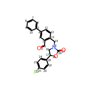 O=Cc1cc(-c2ccccc2)ccc1CN1CC(c2ccc(F)cc2)OC1=O